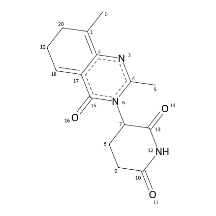 CC1=c2nc(C)n(C3CCC(=O)NC3=O)c(=O)c2=CCC1